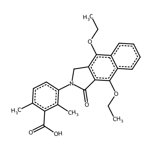 CCOc1c2c(c(OCC)c3ccccc13)C(=O)N(c1ccc(C)c(C(=O)O)c1C)C2